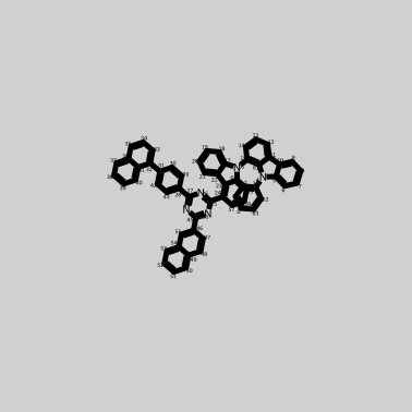 c1ccc(-n2c3ccccc3c3cccc(-n4c5ccccc5c5c(-c6nc(-c7ccc(-c8cccc9ccccc89)cc7)nc(-c7ccc8ccccc8c7)n6)cccc54)c32)cc1